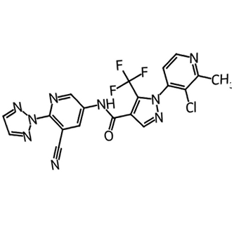 Cc1nccc(-n2ncc(C(=O)Nc3cnc(-n4nccn4)c(C#N)c3)c2C(F)(F)F)c1Cl